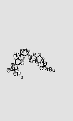 CC(Cc1ccc(Nc2cc(N(C)CC3CCN(OC(=O)C(C)(C)C)CC3)ncn2)cc1)[SH](=O)=O